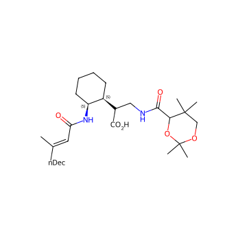 CCCCCCCCCCC(C)=CC(=O)N[C@H]1CCCC[C@H]1C(CNC(=O)C1OC(C)(C)OCC1(C)C)C(=O)O